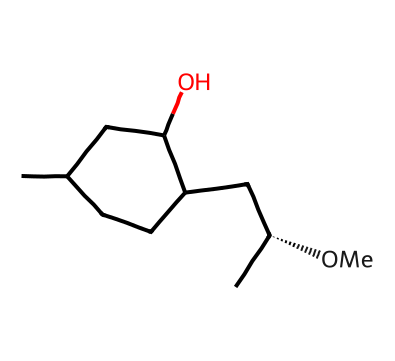 CO[C@H](C)CC1CCC(C)CC1O